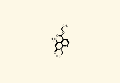 CCOC(=O)c1ccnc2c1c(N)cc(=O)n2CC